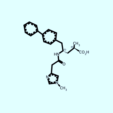 C[C@H](C[C@@H](Cc1ccc(-c2ccccc2)cc1)NC(=O)Cc1cn(C)cn1)C(=O)O